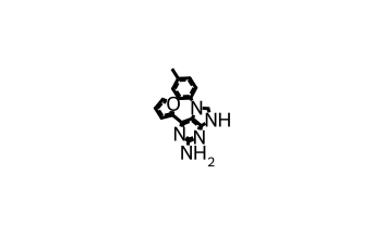 Cc1ccc(N2CNc3nc(N)nc(-c4ccco4)c32)cc1